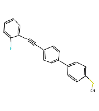 N#CSc1ccc(-c2ccc(C#Cc3ccccc3F)cc2)cc1